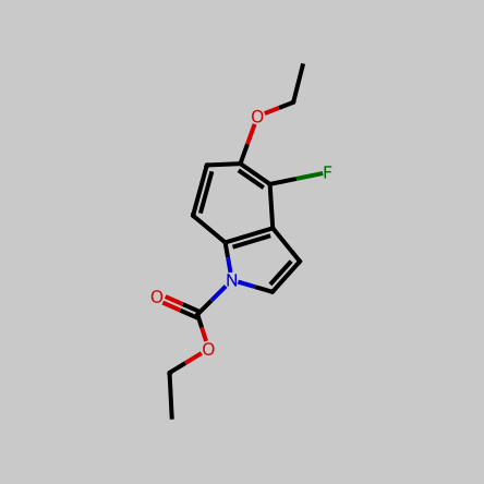 CCOC(=O)n1ccc2c(F)c(OCC)ccc21